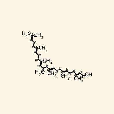 CC(C)=CCC/C(C)=C/CC/C(C)=C/C(C)C/C(C)=C/CC/C(C)=C/CC/C(C)=C/CO